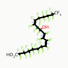 O=C(O)C(F)(F)C(F)(F)C(F)(F)C(F)(F)C(F)(F)C(F)(F)/C(F)=C(F)\C(F)=C(/F)[C@](O)(F)C(F)(F)/C(F)=C(/F)C(F)(F)C(F)(F)C(F)(F)C(F)(F)C(F)(F)F